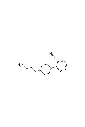 N#Cc1cccnc1N1CCN(CCCN)CC1